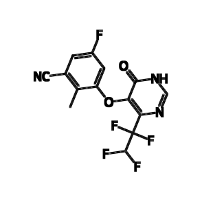 Cc1c(C#N)cc(F)cc1Oc1c(C(F)(F)C(F)F)nc[nH]c1=O